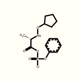 C[C@H](NOC1CCCC1)C(=O)OP(=O)(Cl)Oc1ccccc1